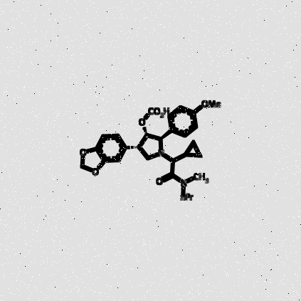 CCCN(C)C(=O)C(C1CC1)N1C[C@H](c2ccc3c(c2)OCO3)[C@H](OC(=O)O)[C@H]1c1ccc(OC)cc1